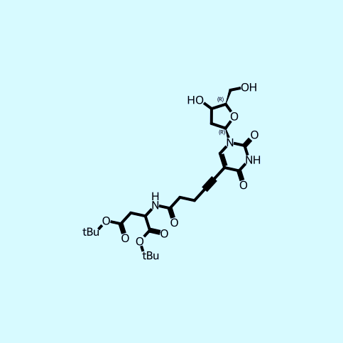 CC(C)(C)OC(=O)CC(NC(=O)CCC#Cc1cn([C@H]2CC(O)[C@@H](CO)O2)c(=O)[nH]c1=O)C(=O)OC(C)(C)C